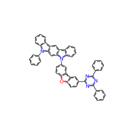 c1ccc(-c2nc(-c3ccccc3)nc(-c3ccc4oc5ccc(-n6c7ccccc7c7cc8c9ccccc9n(-c9ccccc9)c8cc76)cc5c4c3)n2)cc1